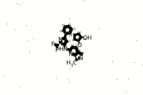 Cn1ncc2c(O[C@H]3CCC[C@H]3O)cc(Nc3cc(-c4ccccc4)nn3C(F)F)nc21